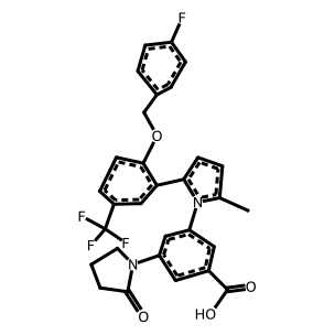 Cc1ccc(-c2cc(C(F)(F)F)ccc2OCc2ccc(F)cc2)n1-c1cc(C(=O)O)cc(N2CCCC2=O)c1